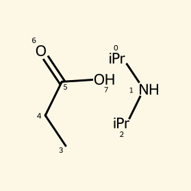 CC(C)NC(C)C.CCC(=O)O